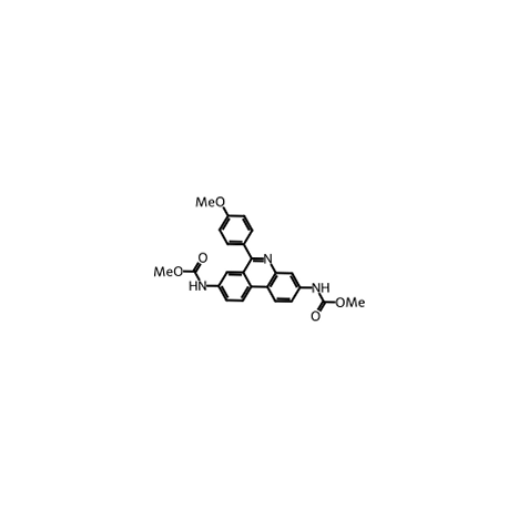 COC(=O)Nc1ccc2c(c1)nc(-c1ccc(OC)cc1)c1cc(NC(=O)OC)ccc12